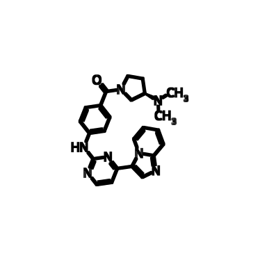 CN(C)[C@@H]1CCN(C(=O)c2ccc(Nc3nccc(-c4cnc5ccccn45)n3)cc2)C1